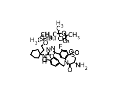 CC(=O)OC(C)(C)C.CC(C)(C)[Si](C)(C)OCCC1(Nc2nnc(-c3cc4c(cc3F)S(=O)(=O)C[C@H](N)C(=O)N4Cc3ccc(Cl)cc3)o2)CCCCC1